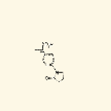 C[C@H](c1ccc(N2CCCC2=O)cc1)S(=O)(=O)O